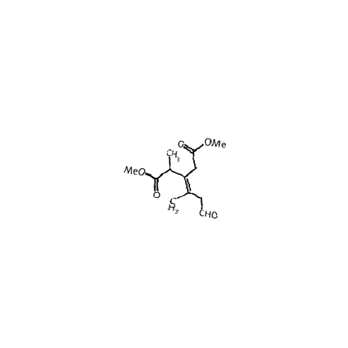 COC(=O)C/C(=C(/C)CC=O)C(C)C(=O)OC